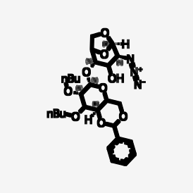 CCCCOC1[C@@H]2OC(c3ccccc3)OCC2O[C@@H](O[C@@H]2C3CO[C@H](O3)[C@@H](N=[N+]=[N-])C2O)[C@H]1OCCCC